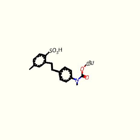 Cc1ccc(S(=O)(=O)O)c(CCc2ccc(N(C)C(=O)OC(C)(C)C)cc2)c1